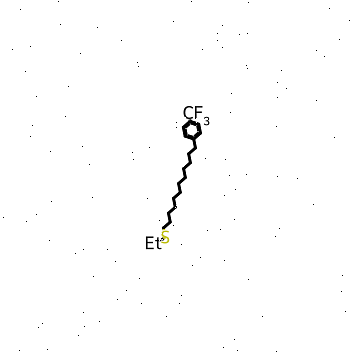 CCSCCCCCCCCCCCCc1ccc(C(F)(F)F)cc1